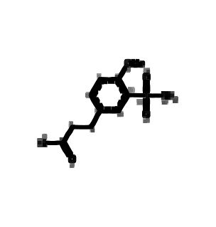 CCC(=O)CCc1ccc(OC)c(S(N)(=O)=O)c1